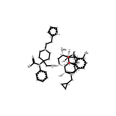 CCC(=O)N(c1ccccc1)C1(COC)CCN(CCc2cccs2)CC1.CO[C@@]12CC[C@@]3(C[C@@H]1[C@](C)(O)C(C)(C)C)[C@H]1Cc4ccc(O)c5c4[C@@]3(CCN1CC1CC1)[C@H]2O5